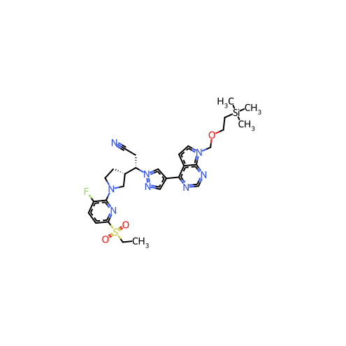 CCS(=O)(=O)c1ccc(F)c(N2CC[C@H]([C@H](CC#N)n3cc(-c4ncnc5c4ccn5COCC[Si](C)(C)C)cn3)C2)n1